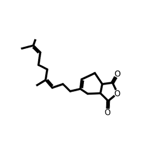 CC(C)=CCCC(C)=CCCC1=CCC2C(=O)OC(=O)C2C1